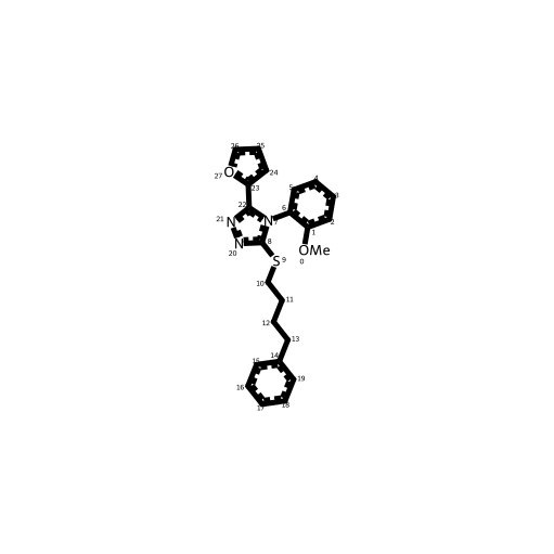 COc1ccccc1-n1c(SCCCCc2ccccc2)nnc1-c1ccco1